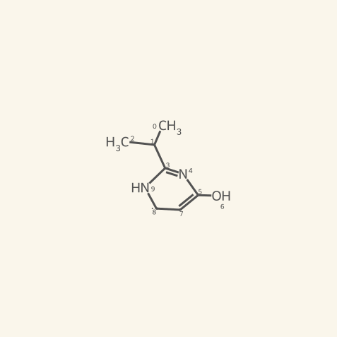 CC(C)C1=NC(O)=C[CH]N1